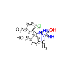 Cc1ccc(S(=O)(=O)O)cc1.N=C(NO)N/N=C/c1cc([N+](=O)[O-])ccc1Cl